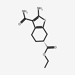 CCOC(=O)[C@@H]1CCc2c(sc(N)c2C(N)=O)C1